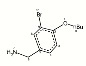 CCCCOc1ccc(CN)cc1Br